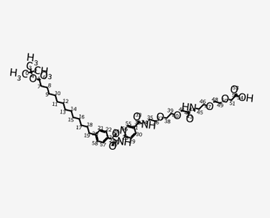 CC(C)(C)OC(=O)CCCCCCCCCCCCCc1ccc(S(=O)(=O)Nc2ccc(C(=O)NCCOCCOCC(=O)NCCOCCOCC(=O)O)cn2)cc1